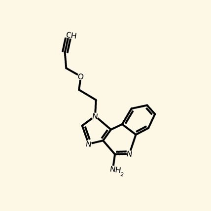 C#CCOCCn1cnc2c(N)nc3ccccc3c21